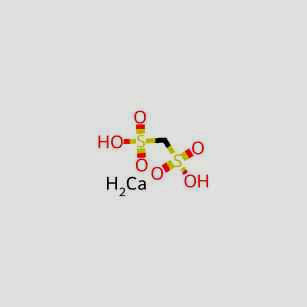 O=S(=O)(O)CS(=O)(=O)O.[CaH2]